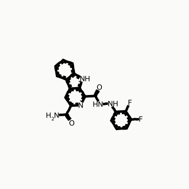 NC(=O)c1cc2c([nH]c3ccccc32)c(C(=O)NNc2cccc(F)c2F)n1